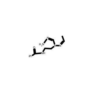 C/C=N\N(/C=N\N)CCNC(=O)C(C)C